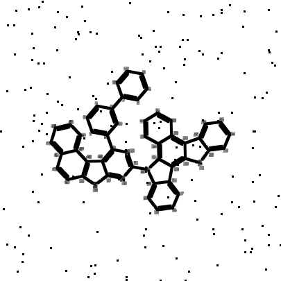 c1ccc(-c2cccc(-c3nc(-n4c5ccccc5c5c6sc7ccccc7c6c6ccccc6c54)nc4sc5ccc6ccccc6c5c34)c2)cc1